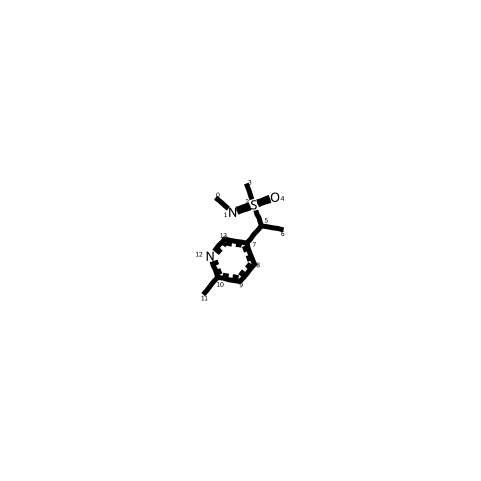 CN=S(C)(=O)C(C)c1ccc(C)nc1